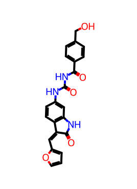 O=C(NC(=O)c1ccc(CO)cc1)Nc1ccc2c(c1)NC(=O)/C2=C\c1ccco1